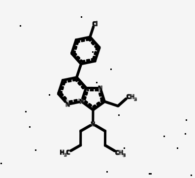 CCCN(CCC)c1c(CC)nc2c(-c3ccc(Cl)cc3)ccnn12